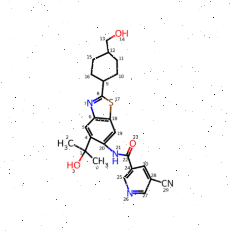 CC(C)(O)c1cc2nc(C3CCC(CO)CC3)sc2cc1NC(=O)c1cncc(C#N)c1